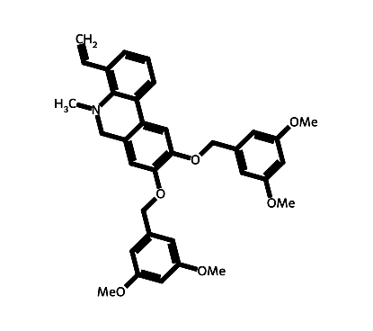 C=Cc1cccc2c1N(C)Cc1cc(OCc3cc(OC)cc(OC)c3)c(OCc3cc(OC)cc(OC)c3)cc1-2